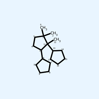 CC1(C)CC[C](C2CCCC2)C1(C)C1CCCC1